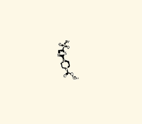 CC(C)S(=O)(=O)c1cnc(N2CCN(C(=O)OC(C)(C)C)CC2)s1